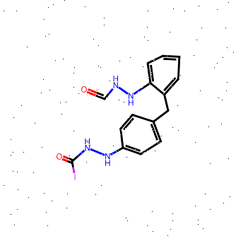 O=CNNc1ccccc1Cc1ccc(NNC(=O)I)cc1